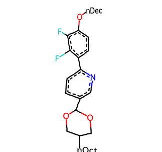 CCCCCCCCCCOc1ccc(-c2ccc(C3OCC(CCCCCCCC)CO3)cn2)c(F)c1F